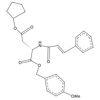 COc1ccc(COC(=O)[C@H](CC(=O)OC2CCCC2)NC(=O)C=Cc2ccccc2)cc1